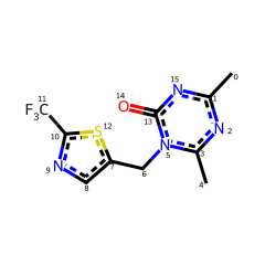 Cc1nc(C)n(Cc2cnc(C(F)(F)F)s2)c(=O)n1